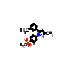 Cc1cccc(-c2cc(C(F)(F)F)nn2-c2ccc(S(C)(=O)=O)c(F)c2)c1